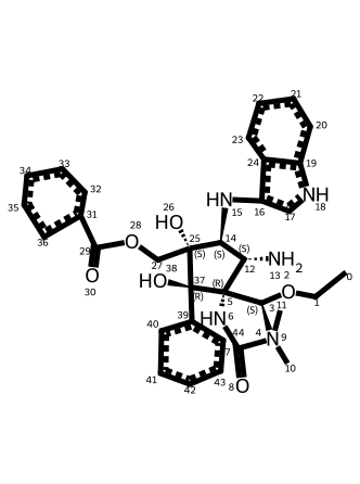 CCO[C@@H](C)[C@]1(NC(=O)N(C)C)[C@@H](N)[C@H](Nc2c[nH]c3ccccc23)[C@](O)(COC(=O)c2ccccc2)[C@@]1(O)c1ccccc1